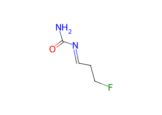 NC(=O)N=CCCF